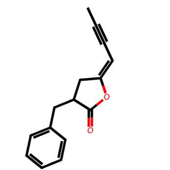 CC#C/C=C1\CC(Cc2ccccc2)C(=O)O1